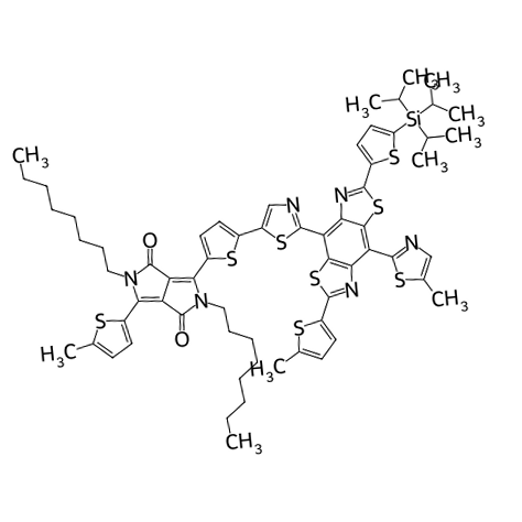 CCCCCCCCN1C(=O)C2=C(c3ccc(-c4cnc(-c5c6nc(-c7ccc([Si](C(C)C)(C(C)C)C(C)C)s7)sc6c(-c6ncc(C)s6)c6nc(-c7ccc(C)s7)sc56)s4)s3)N(CCCCCCCC)C(=O)C2=C1c1ccc(C)s1